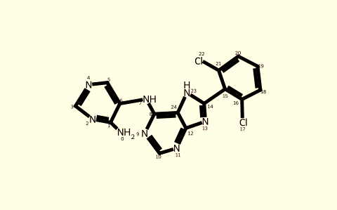 Nc1ncncc1Nc1ncnc2nc(-c3c(Cl)cccc3Cl)[nH]c12